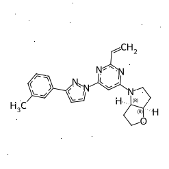 C=Cc1nc(N2CC[C@H]3OCC[C@H]32)cc(-n2ccc(-c3cccc(C)c3)n2)n1